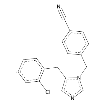 N#Cc1ccc(Cn2cncc2Cc2cc[c]cc2Cl)cc1